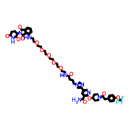 NC(=O)c1cc(-c2cn(CCCC(=O)NCCOCCOCCOCCOCCOCCNc3cccc4c3C(=O)N(C3CCC(=O)NC3=O)C4=O)cn2)cnc1OC1CCN(C(=O)Cc2ccc(OC(F)(F)F)cc2)CC1